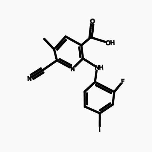 Cc1cc(C(=O)O)c(Nc2ccc(I)cc2F)nc1C#N